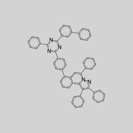 c1ccc(-c2cccc(-c3nc(-c4ccccc4)nc(-c4ccc(-c5cccc6c5cc(-c5ccccc5)n5nc(-c7ccccc7)c(-c7ccccc7)c65)cc4)n3)c2)cc1